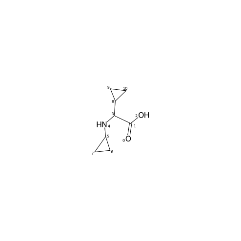 O=C(O)C(NC1CC1)C1CC1